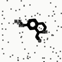 NNc1ccc2c(c1)C(C=O)NCC2